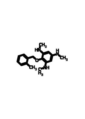 CNc1cc(NC)c(OCc2ccccc2C)c(NC)c1